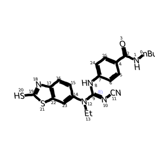 CCCCNC(=O)c1ccc(N/C(=N\C#N)N(CC)c2ccc3nc(S)sc3c2)cc1